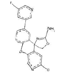 NC1=NC2(CO1)c1cc(-c3cncc(F)c3)ccc1Oc1cnc(Cl)cc12